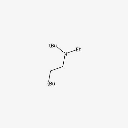 CCN(CCC(C)(C)C)C(C)(C)C